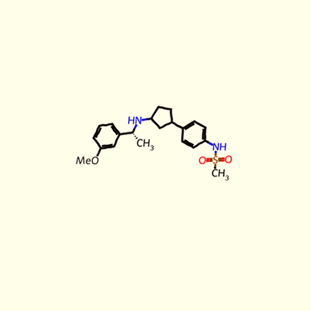 COc1cccc([C@@H](C)NC2CCC(c3ccc(NS(C)(=O)=O)cc3)C2)c1